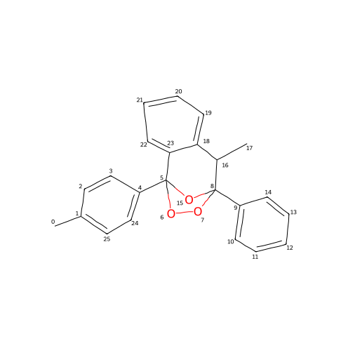 Cc1ccc(C23OOC(c4ccccc4)(O2)C(C)c2ccccc23)cc1